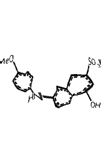 COc1ccc(Nc2ccc3c(O)cc(S(=O)(=O)O)cc3c2)cc1